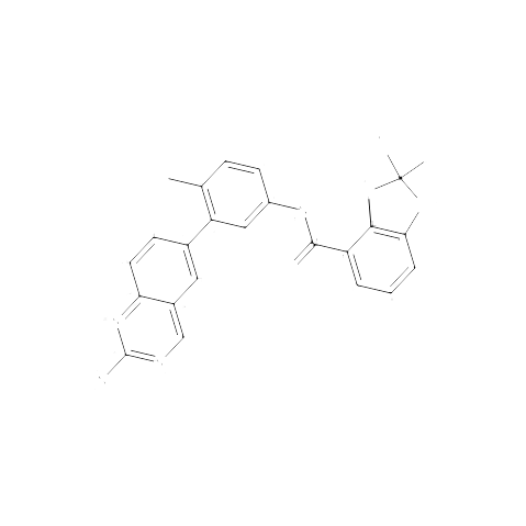 Cc1ccc(NC(=O)c2cccc3c2OC(F)(F)O3)cc1-c1ccc2nc(N)ncc2c1